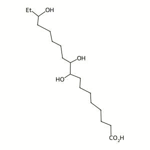 CCC(O)CCCCCC(O)C(O)CCCCCCCC(=O)O